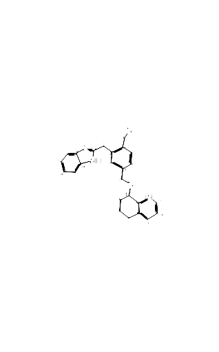 NCc1ccc(CNC2CCCc3cccnc32)cc1Cc1nc2ccccc2[nH]1